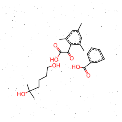 CC(C)(O)CCCCO.Cc1cc(C)c(C(=O)C(=O)O)c(C)c1.O=C(O)c1ccccc1